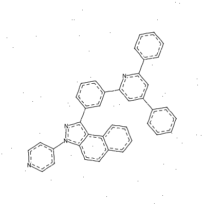 c1ccc(-c2cc(-c3ccccc3)nc(-c3cccc(-c4nn(-c5ccncc5)c5ccc6ccccc6c45)c3)c2)cc1